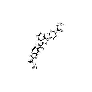 CC(C)(C)OC(=O)N1CCC(Oc2ncccc2NS(=O)(=O)c2ccc3cc(C(=O)OO)oc3c2)CC1